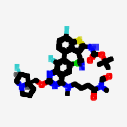 CN(C=O)C(=O)CCCN(C)c1nc(OC[C@@]23CCCN2C[C@H](F)C3)nc2c(F)c(-c3ccc(F)c4sc(NC(=O)OC(C)(C)C)c(C#N)c34)c(Cl)cc12